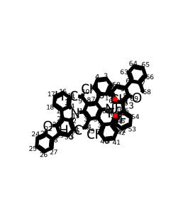 Cc1ccccc1-c1c(C(C)C)c(-n2c3ccccc3c3c4oc5ccccc5c4ccc32)c(C(C)C)c(-c2ccccc2C(F)(F)F)c1-n1c2ccccc2c2c3c(ccc21)-c1ccccc1CO3